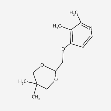 Cc1nccc(OCC2OCC(C)(C)CO2)c1C